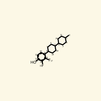 CC1CCC(C2CCC(c3ccc(O)c(F)c3F)CC2)CC1